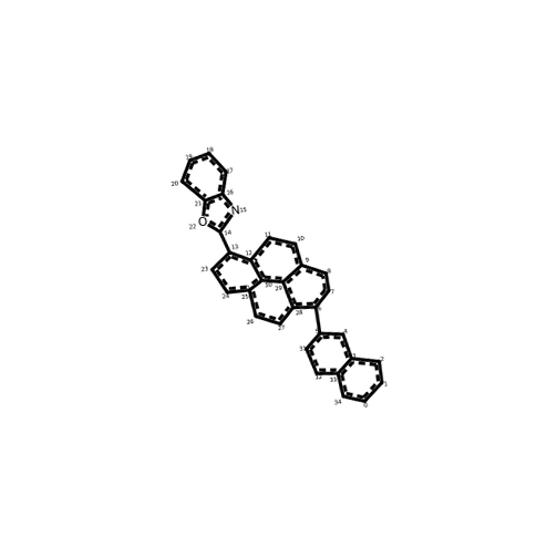 c1ccc2cc(-c3ccc4ccc5c(-c6nc7ccccc7o6)ccc6ccc3c4c65)ccc2c1